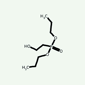 CCCOP(=O)(CCO)OCCC